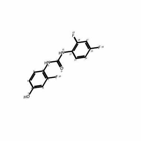 O=C(Nc1ccc(O)cc1F)Nc1ccc(F)cc1F